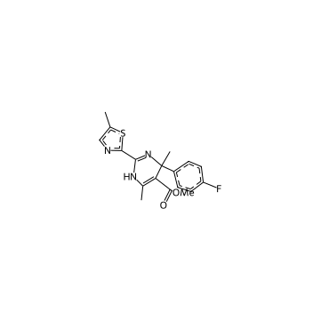 COC(=O)C1=C(C)NC(c2ncc(C)s2)=NC1(C)c1ccc(F)cc1